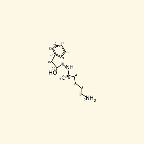 NCCCCC(=O)N[C@H]1c2ccccc2C[C@H]1O